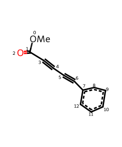 COC(=O)C#CC#Cc1ccccc1